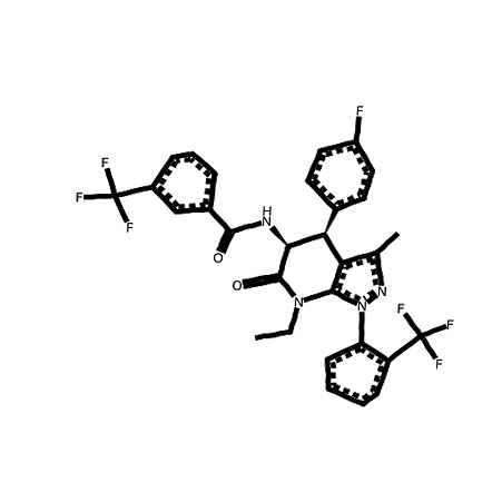 CCN1C(=O)[C@@H](NC(=O)c2cccc(C(F)(F)F)c2)[C@@H](c2ccc(F)cc2)c2c(C)nn(-c3ccccc3C(F)(F)F)c21